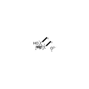 CC(=O)O.CC(=O)O.[Mg+2].[O-2]